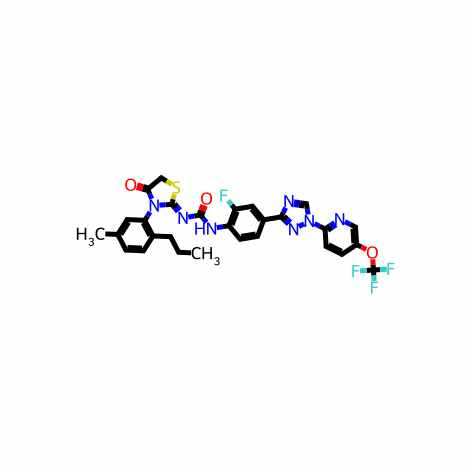 CCCc1ccc(C)cc1N1C(=O)CS/C1=N\C(=O)Nc1ccc(-c2ncn(-c3ccc(OC(F)(F)F)cn3)n2)cc1F